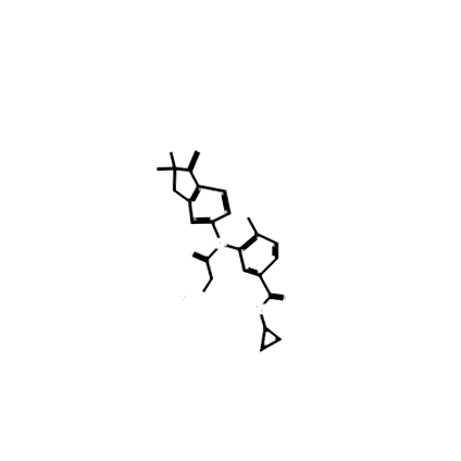 COCC(=O)N(c1ccc2c(c1)CC(C)(C)C2=O)c1cc(C(=O)NC2CC2)ccc1C